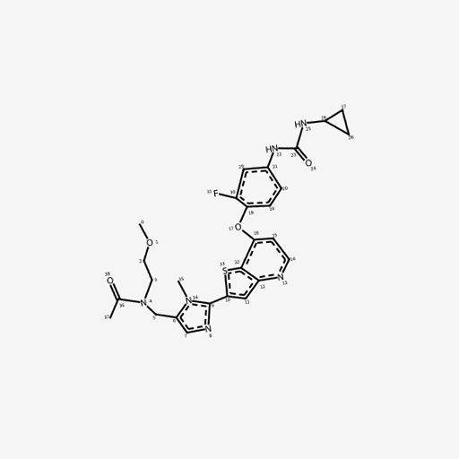 COCCN(Cc1cnc(-c2cc3nccc(Oc4ccc(NC(=O)NC5CC5)cc4F)c3s2)n1C)C(C)=O